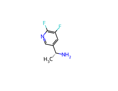 C[C@@H](N)c1cnc(F)c(F)c1